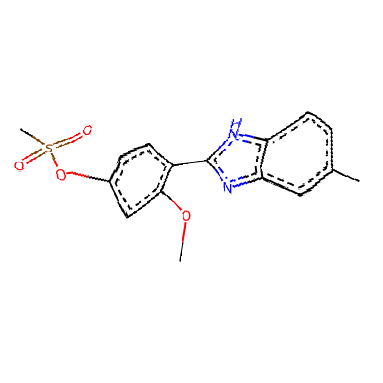 COc1cc(OS(C)(=O)=O)ccc1-c1nc2cc(C)ccc2[nH]1